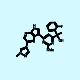 CNc1nc(-c2c[nH]c3ncc(-c4cnn(C)c4)nc23)cc(C(C)(O)c2ccccc2F)n1